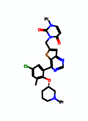 Cc1cc(Cl)cc(-c2ncnc3cc(Cn4c(=O)ccn(C(C)C)c4=O)sc23)c1O[C@H]1CCCN(C(C)C)C1